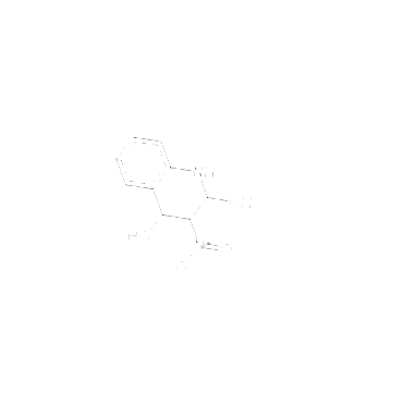 O=[N+]([O-])C1C(O)Nc2ccccc2C1O